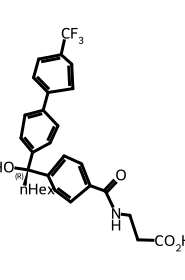 CCCCCC[C@](O)(c1ccc(C(=O)NCCC(=O)O)cc1)c1ccc(-c2ccc(C(F)(F)F)cc2)cc1